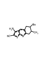 CC1Cc2nc3sc(C#N)c(N)c3cc2CC1C(C)(C)C